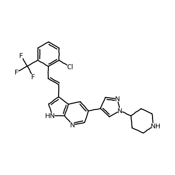 FC(F)(F)c1cccc(Cl)c1C=Cc1c[nH]c2ncc(-c3cnn(C4CCNCC4)c3)cc12